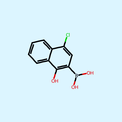 OB(O)c1cc(Cl)c2ccccc2c1O